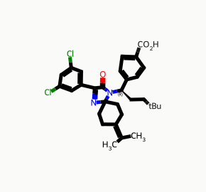 CC(C)=C1CCC2(CC1)N=C(c1cc(Cl)cc(Cl)c1)C(=O)N2[C@H](CCC(C)(C)C)c1ccc(C(=O)O)cc1